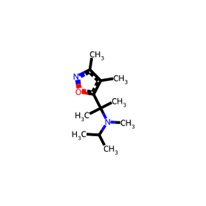 Cc1noc(C(C)(C)N(C)C(C)C)c1C